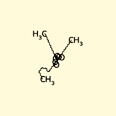 CCCCC/C=C\C/C=C\C/C=C\C/C=C\CCCCCC(=O)OC[C@H](COC(=O)CCCCCCCCCCCCC)OC(=O)CCCCCCCCCCCCCCCCC